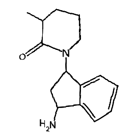 CC1CCCN(C2CC(N)c3ccccc32)C1=O